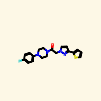 O=C(Cn1ccc(-c2cccs2)n1)N1CCN(c2ccc(F)cc2)CC1